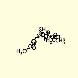 CCCCOC(=O)N1CCC(CCOc2cc3ncn(COC(=O)C(C)(C)C)c(=O)c3cc2OC)CC1